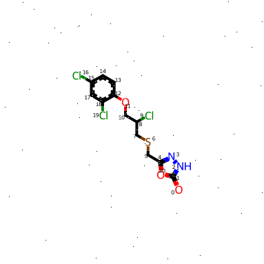 O=c1[nH]nc(CSCC(Cl)COc2ccc(Cl)cc2Cl)o1